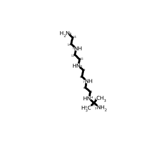 CC(C)(N)NCCNCCNCCNCCN